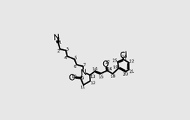 N#CCCCCCCN1C(=O)CCC1/C=C/C(=O)Cc1cccc(Cl)c1